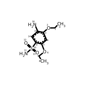 CCOc1cc(OCC)c(S(N)(=O)=O)cc1N